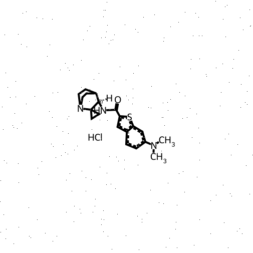 CN(C)c1ccc2cc(C(=O)N[C@@H]3C4CCN(CC4)C34CC4)sc2c1.Cl